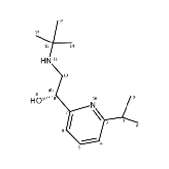 CC(C)c1cccc([C@H](O)CNC(C)(C)C)n1